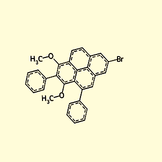 COc1c(-c2ccccc2)c(OC)c2c(-c3ccccc3)cc3cc(Br)cc4ccc1c2c43